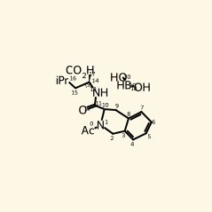 CC(=O)N1Cc2ccccc2CC1C(=O)N[C@@H](CC(C)C)C(=O)O.OBO